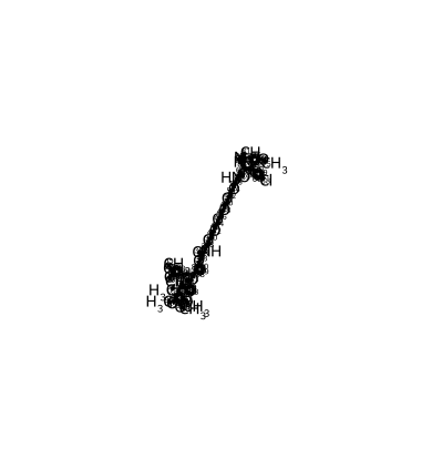 CC[C@H](C(=O)N1CCCC[C@H]1C(=O)O[C@H](CCc1ccc(OC)c(OC)c1)c1cccc(OCC(=O)NCCOCCOCCOCCOCCOCCOCCNC(=O)C[C@@H]2N=C(c3ccc(Cl)cc3)c3cc(OC)ccc3-n3c(C)nnc32)c1)c1cc(OC)c(OC)c(OC)c1